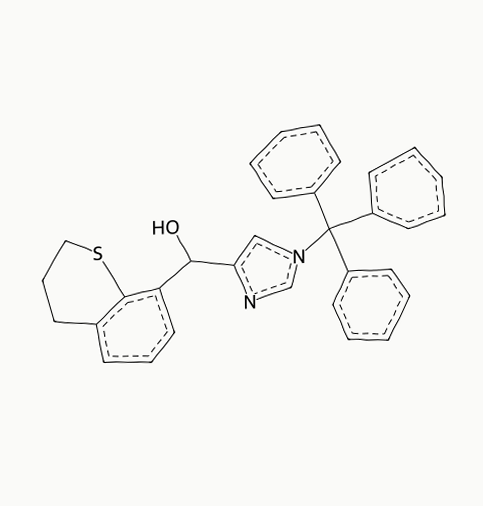 OC(c1cn(C(c2ccccc2)(c2ccccc2)c2ccccc2)cn1)c1cccc2c1SCCC2